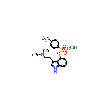 CCCN(CCC)CCc1c[nH]c2cccc(OS(=O)(=O)c3ccc([N+](=O)[O-])cc3)c12.Cl.O